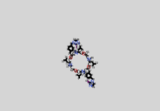 CC(C)C[C@H]1CO[C@H](C)CN(C)[C@@H](CC(C)C)CO[C@H](Cc2ccc(Cn3ccnc3I)cc2)CN(C)[C@@H](CC(C)C)CO[C@H](C)CN(C)[C@@H](CC(C)C)CO[C@H](Cc2cccc(Cn3ccnc3I)c2)CN1C